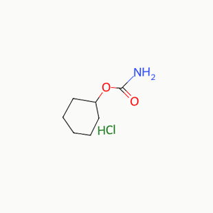 Cl.NC(=O)OC1CCCCC1